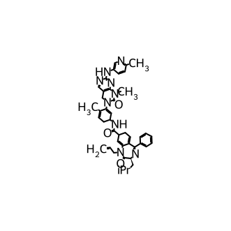 C=CCN1C(=O)[C@H](CC(C)C)N=C(c2ccccc2)C2=CCC(C(=O)NC3C=C(N4Cc5cnc(Nc6ccc(C)nc6)nc5N(C)C4=O)C(C)=CC3)C=C21